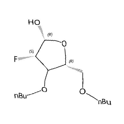 CCCCOC[C@H]1O[C@@H](O)[C@@H](F)C1OCCCC